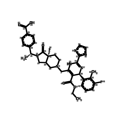 CCOC(=O)C1=C(CN2CC[C@]3(F)C(=O)N([C@H](C)c4ccc(C(=O)O)cc4)CC3C2)NC(c2nccs2)=N[C@H]1c1cccc(F)c1C